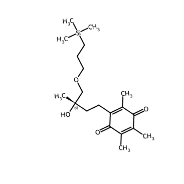 CC1=C(C)C(=O)C(CC[C@](C)(O)COCCC[Si](C)(C)C)=C(C)C1=O